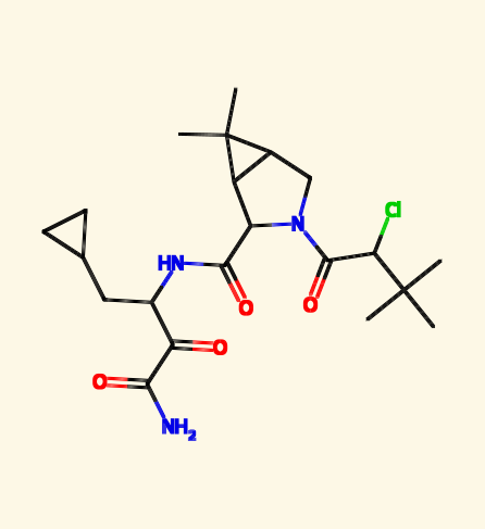 CC(C)(C)C(Cl)C(=O)N1CC2C(C1C(=O)NC(CC1CC1)C(=O)C(N)=O)C2(C)C